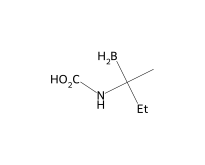 BC(C)(CC)NC(=O)O